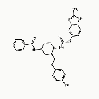 Cc1nc2cc(OC(=O)NN3CCC(NC(=O)c4ccccc4)CC3CCc3ccc(C#N)cc3)ccc2[nH]1